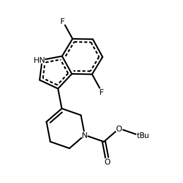 CC(C)(C)OC(=O)N1CCC=C(c2c[nH]c3c(F)ccc(F)c23)C1